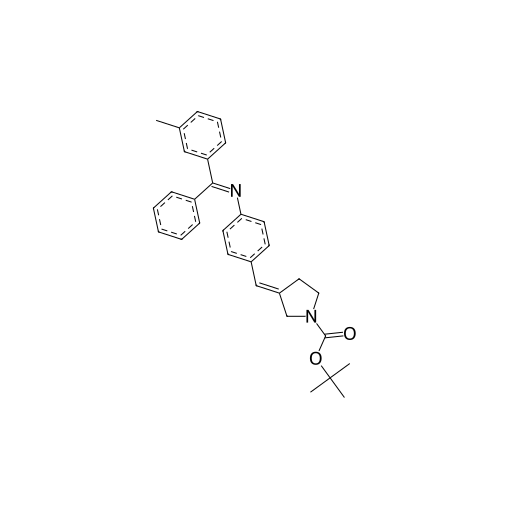 Cc1cccc(/C(=N/c2ccc(/C=C3\CCN(C(=O)OC(C)(C)C)C3)cc2)c2ccccc2)c1